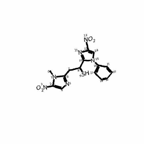 Cn1c([N+](=O)[O-])cnc1CC(S)c1nc([N+](=O)[O-])cn1-c1ccccc1